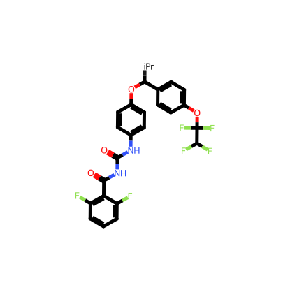 CC(C)C(Oc1ccc(NC(=O)NC(=O)c2c(F)cccc2F)cc1)c1ccc(OC(F)(F)C(F)F)cc1